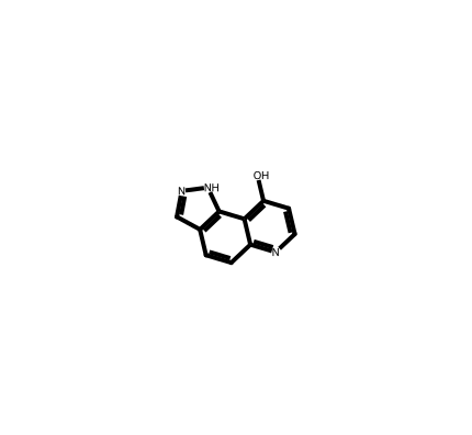 Oc1ccnc2ccc3cn[nH]c3c12